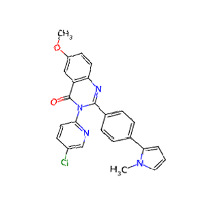 COc1ccc2nc(-c3ccc(-c4cccn4C)cc3)n(-c3ccc(Cl)cn3)c(=O)c2c1